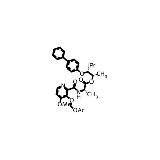 COc1ccnc(C(=O)N[C@@H](C)C(=O)O[C@@H](C)[C@H](Oc2ccc(-c3ccccc3)cc2)C(C)C)c1OCOC(C)=O